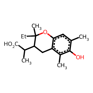 CCC1(C)Oc2cc(C)c(O)c(C)c2CC1C(C)C(=O)O